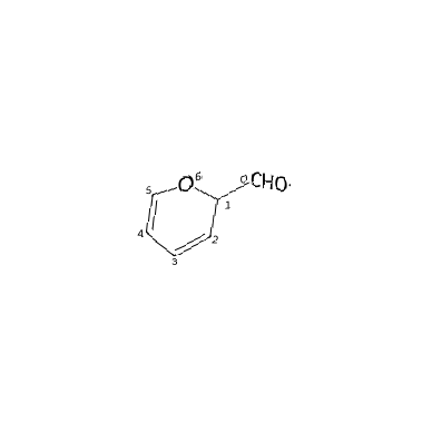 O=[C]C1C=CC=CO1